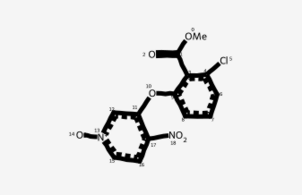 COC(=O)c1c(Cl)cccc1Oc1c[n+]([O-])ccc1[N+](=O)[O-]